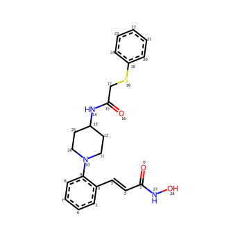 O=C(/C=C/c1ccccc1N1CCC(NC(=O)CSc2ccccc2)CC1)NO